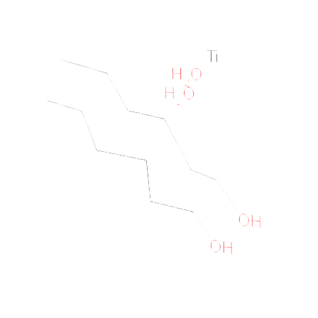 CCCCCCO.CCCCCCO.O.O.[Ti]